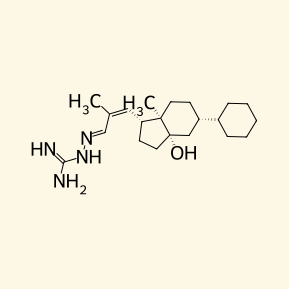 CC(=C[C@H]1CC[C@]2(O)C[C@@H](C3CCCCC3)CC[C@]12C)/C=N/NC(=N)N